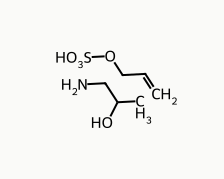 C=CCOS(=O)(=O)O.CC(O)CN